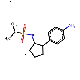 CC(C)S(=O)(=O)NC1CCCC1c1ccc(N)cc1